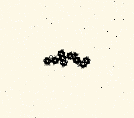 CC1(C)c2ccc(-c3c4ccccc4c(-c4ccc5c(c4)oc4ccccc45)c4ccccc34)cc2-c2cc3sc4ccc5ccccc5c4c3cc21